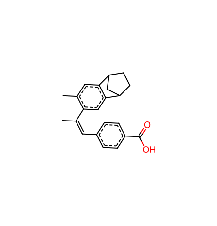 C/C(=C/c1ccc(C(=O)O)cc1)c1cc2c(cc1C)C1CCC2C1